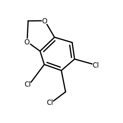 ClCc1c(Cl)cc2c(c1Cl)OCO2